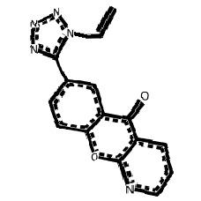 C=Cn1nnnc1-c1ccc2oc3ncccc3c(=O)c2c1